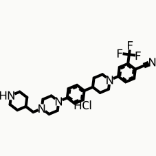 Cl.N#Cc1ccc(N2CCC(c3ccc(N4CCN(CC5CCNCC5)CC4)cc3)CC2)cc1C(F)(F)F